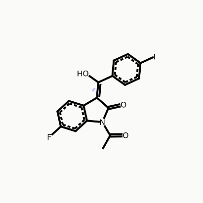 CC(=O)N1C(=O)/C(=C(/O)c2ccc(I)cc2)c2ccc(F)cc21